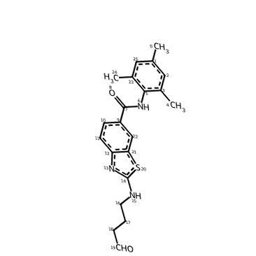 Cc1cc(C)c(NC(=O)c2ccc3nc(NCCCC=O)sc3c2)c(C)c1